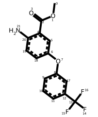 COC(=O)c1cc(Oc2cccc(C(F)(F)F)c2)ccc1N